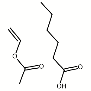 C=COC(C)=O.CCCCCC(=O)O